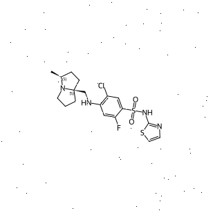 C[C@H]1CC[C@]2(CNc3cc(F)c(S(=O)(=O)Nc4nccs4)cc3Cl)CCCN12